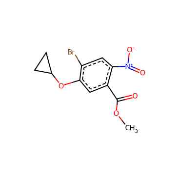 COC(=O)c1cc(OC2CC2)c(Br)cc1[N+](=O)[O-]